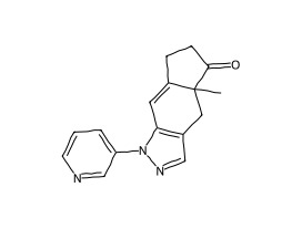 CC12Cc3cnn(-c4cccnc4)c3C=C1CCC2=O